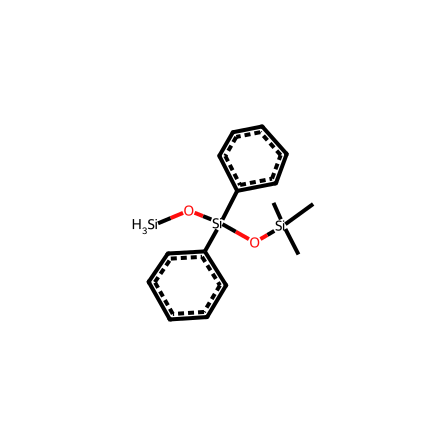 C[Si](C)(C)O[Si](O[SiH3])(c1ccccc1)c1ccccc1